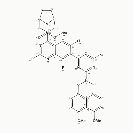 COc1ccc(CN(Cc2ccc(OC)cc2)c2nc(C)cc(-c3c(Cl)cc4c(N5CC6CCC(C5)N6C(=O)OC(C)(C)C)nc(F)nc4c3F)n2)cc1